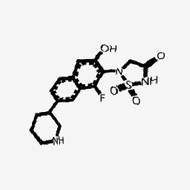 O=C1CN(c2c(O)cc3ccc(C4CCCNC4)cc3c2F)S(=O)(=O)N1